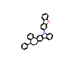 c1ccc(C2CCc3cc4c5ccccc5n(-c5ccc6c(c5)oc5ccccc56)c4cc3-c3ccccc32)cc1